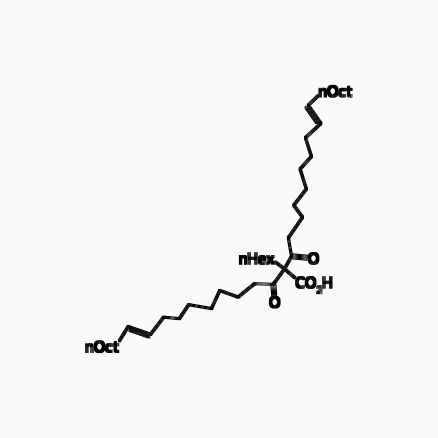 CCCCCCCCC=CCCCCCCCC(=O)C(CCCCCC)(C(=O)O)C(=O)CCCCCCCC=CCCCCCCCC